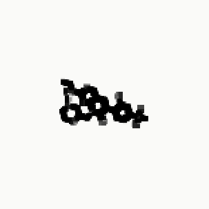 CCNc1ncc2cc(-c3ccc(S(C)(=O)=O)cc3Cl)c(=O)n(CC3CNCCO3)c2n1